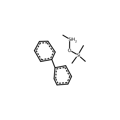 C[SiH2]O[Si](C)(C)C.c1ccc(-c2ccccc2)cc1